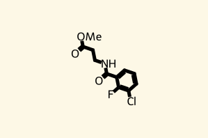 COC(=O)CCNC(=O)c1cccc(Cl)c1F